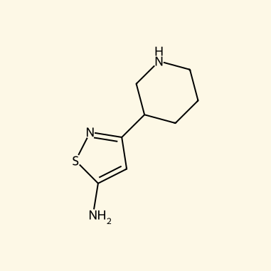 Nc1cc(C2CCCNC2)ns1